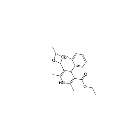 CCOC(=O)C1=C(C)NC(C)=C(C2OC(C)O2)C1c1ccccc1Br